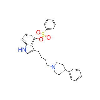 O=S(=O)(Oc1cccc2[nH]cc(CCCCN3CCC(c4ccccc4)CC3)c12)c1ccccc1